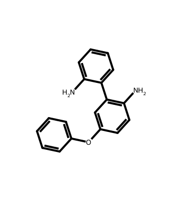 Nc1ccccc1-c1cc(Oc2ccccc2)ccc1N